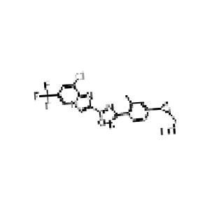 Cc1cc(C2CC2CO)ccc1-c1noc(-c2cn3cc(C(F)(F)F)cc(Cl)c3n2)n1